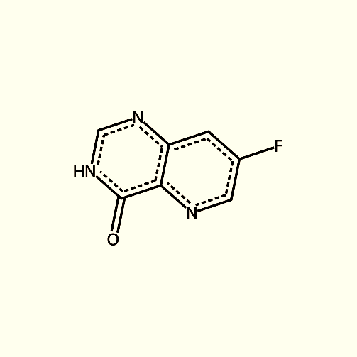 O=c1[nH]cnc2cc(F)cnc12